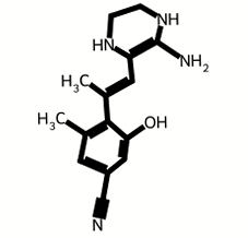 C/C(=C\C1=C(N)NCCN1)c1c(C)cc(C#N)cc1O